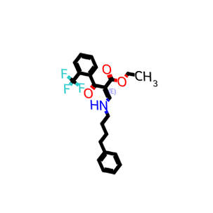 CCOC(=O)/C(=C/NCCCCc1ccccc1)C(=O)c1ccccc1C(F)(F)F